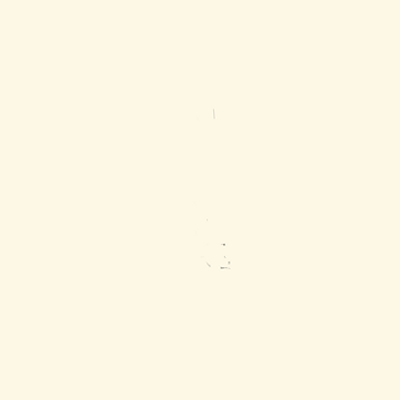 CCCCCCCCOSc1ccccc1